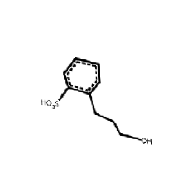 O=S(=O)(O)c1ccccc1CCCO